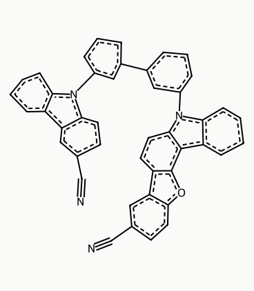 N#Cc1ccc2oc3c(ccc4c3c3ccccc3n4-c3cccc(-c4cccc(-n5c6ccccc6c6cc(C#N)ccc65)c4)c3)c2c1